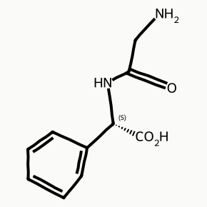 NCC(=O)N[C@H](C(=O)O)c1ccccc1